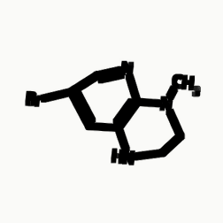 CN1CCNc2cc(Br)cnc21